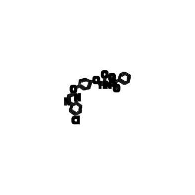 O=C(COc1ccc(Oc2cnc3cc(Cl)ccc3n2)cc1)NS(=O)(=O)c1ccccc1